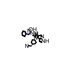 N#CC[C@H]1CC[C@@H](n2c(CN/C(Cc3ccccc3)=N\O)nc3cnc4[nH]ccc4c32)CC1